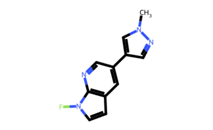 Cn1cc(-c2cnc3c(ccn3F)c2)cn1